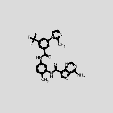 Cc1ccc(NC(=O)c2cc(-n3ccnc3C)cc(C(F)(F)F)c2)cc1NC(=O)c1csc2c(N)ncnc12